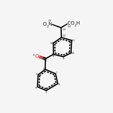 O=C(c1ccccc1)c1cccc(C(C(=O)O)[N+](=O)[O-])c1